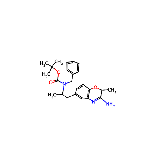 CC1Oc2ccc(CC(C)N(Cc3ccccc3)C(=O)OC(C)(C)C)cc2N=C1N